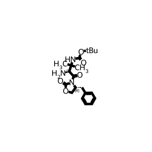 CC(C)(C)OC(=O)NC(C)(C)[C@H](N)C(=O)N1C(=O)OC[C@H]1Cc1ccccc1